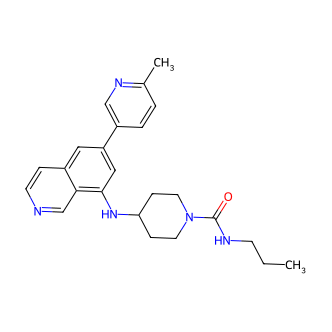 CCCNC(=O)N1CCC(Nc2cc(-c3ccc(C)nc3)cc3ccncc23)CC1